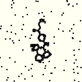 CCCC(=O)c1ccc(NC(c2ccccc2)c2c[nH]nc2-c2ccncc2)cc1